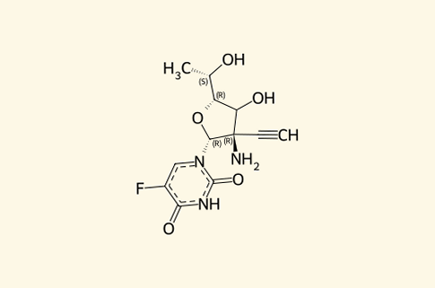 C#C[C@@]1(N)C(O)[C@@H]([C@H](C)O)O[C@H]1n1cc(F)c(=O)[nH]c1=O